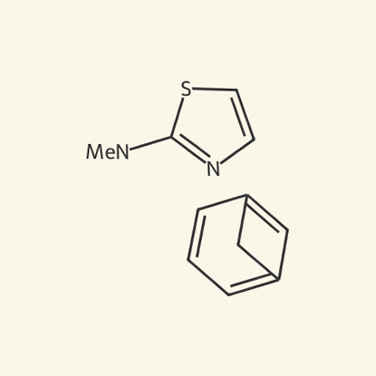 CNc1nccs1.c1cc2cc(c1)C2